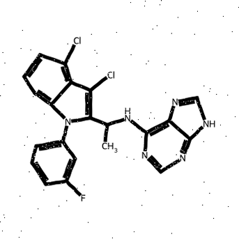 CC(Nc1ncnc2[nH]cnc12)c1c(Cl)c2c(Cl)cccc2n1-c1cccc(F)c1